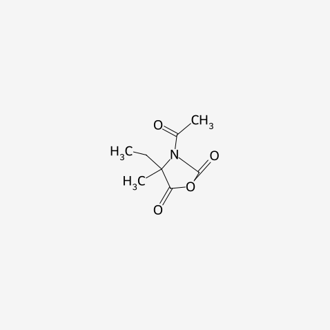 CCC1(C)C(=O)OC(=O)N1C(C)=O